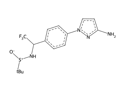 CC(C)(C)[S+]([O-])NC(c1ccc(-n2ccc(N)n2)cc1)C(F)(F)F